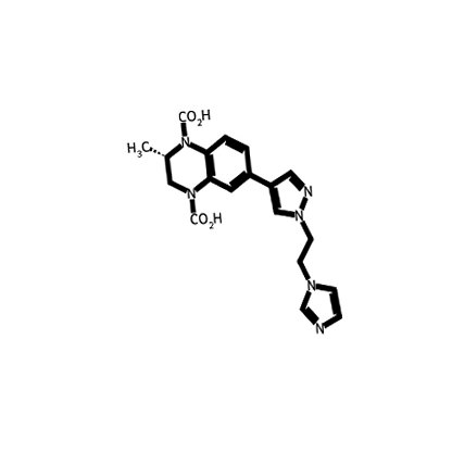 C[C@H]1CN(C(=O)O)c2cc(-c3cnn(CCn4ccnc4)c3)ccc2N1C(=O)O